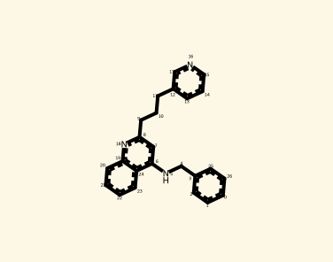 c1ccc(CNc2cc(CCCc3cccnc3)nc3ccccc23)cc1